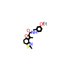 CCOc1cccc(CNC(=O)c2oc3c(c2C)-c2nc(C)sc2CC3)c1